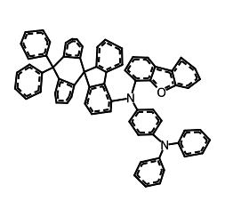 c1ccc(N(c2ccccc2)c2ccc(N(c3cccc4c3-c3ccccc3C43c4ccccc4C(c4ccccc4)(c4ccccc4)c4ccccc43)c3cccc4c3oc3ccccc34)cc2)cc1